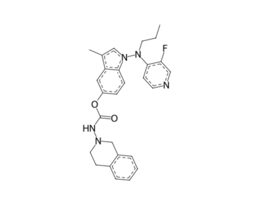 CCCN(c1ccncc1F)n1cc(C)c2cc(OC(=O)NN3CCc4ccccc4C3)ccc21